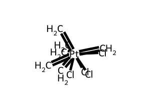 [CH2]=[Pt](=[CH2])(=[CH2])(=[CH2])(=[CH2])(=[CH2])([Cl])([Cl])([Cl])[Cl]